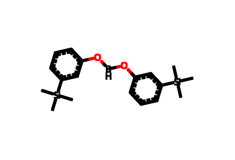 C[Si](C)(C)c1cccc(OBOc2cccc([Si](C)(C)C)c2)c1